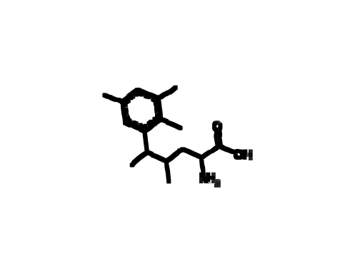 Cc1cc(C)c(C)c(C(C)C(C)CC(N)C(=O)O)c1